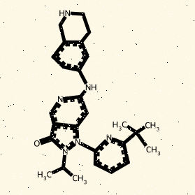 CC(C)n1c(=O)c2cnc(Nc3ccc4c(c3)CCNC4)cc2n1-c1cccc(C(C)(C)C)n1